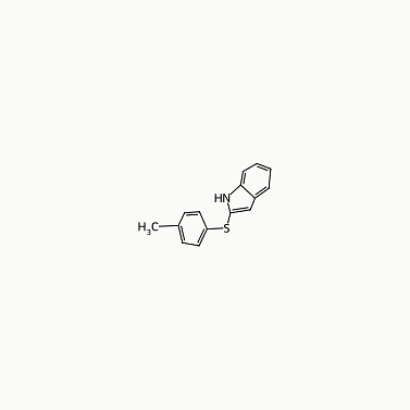 Cc1ccc(Sc2cc3ccccc3[nH]2)cc1